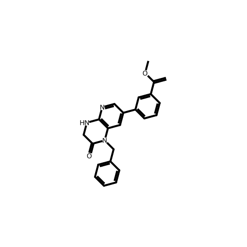 C=C(OC)c1cccc(-c2cnc3c(c2)N(Cc2ccccc2)C(=O)CN3)c1